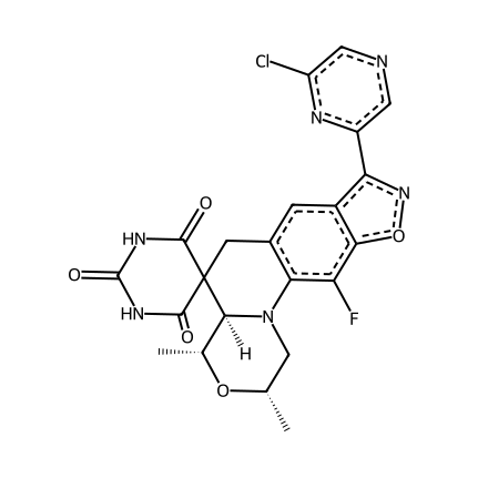 C[C@H]1CN2c3c(cc4c(-c5cncc(Cl)n5)noc4c3F)CC3(C(=O)NC(=O)NC3=O)[C@@H]2[C@@H](C)O1